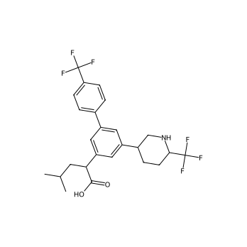 CC(C)CC(C(=O)O)c1cc(-c2ccc(C(F)(F)F)cc2)cc(C2CCC(C(F)(F)F)NC2)c1